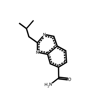 CC(C)Cc1ncc2ccc(C(N)=O)cc2n1